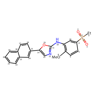 CCS(=O)(=O)c1ccc(OC)c(Nc2ncc(-c3ccc4ccccc4c3)o2)c1